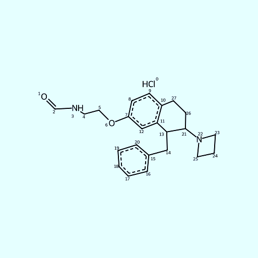 Cl.O=CNCCOc1ccc2c(c1)C(Cc1ccccc1)C(N1CCC1)CC2